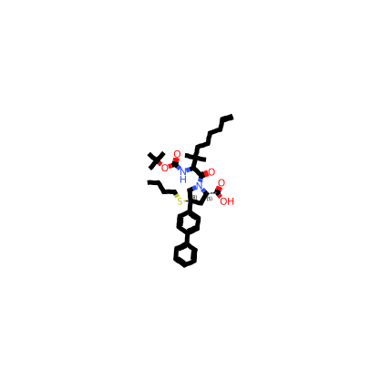 C=CCCCCC(C)(C)C(NC(=O)OC(C)(C)C)C(=O)N1C[C@](SCCCC)(c2ccc(-c3ccccc3)cc2)C[C@H]1C(=O)O